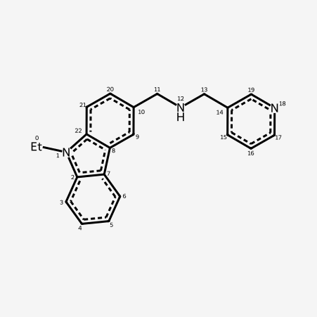 CCn1c2ccccc2c2cc(CNCc3cccnc3)ccc21